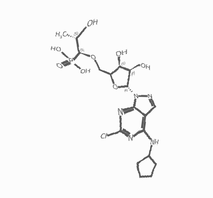 C[C@H](O)[C@@H](OCC1O[C@@H](n2ncc3c(NC4CCCC4)nc(Cl)nc32)[C@H](O)[C@@H]1O)P(=O)(O)O